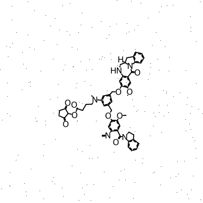 C=Nc1cc(OCc2cc(COc3cc4c(cc3OC)C(=O)N3c5ccccc5C[C@H]3CN4)cc(N(C)CCCC(=O)OC3C(=O)CCC3=O)c2)c(OC)cc1C(=O)N1CCc2ccccc21